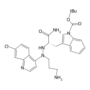 CC(C)(C)OC(=O)n1cc(C[C@H](NN(CCCN)c2ccnc3cc(Cl)ccc23)C(N)=O)c2ccccc21